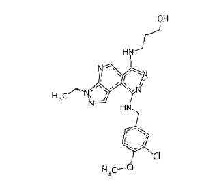 CCn1ncc2c3c(NCc4ccc(OC)c(Cl)c4)nnc(NCCCO)c3cnc21